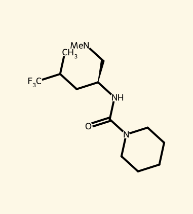 CNC[C@H](CC(C)C(F)(F)F)NC(=O)N1CCCCC1